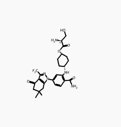 CC1(C)CC(=O)c2c(C(F)(F)F)nn(-c3ccc(C(N)=O)c(N[C@H]4CC[C@H](OC(=O)[C@@H](N)CO)CC4)c3)c2C1